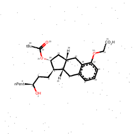 CCCCC[C@H](O)CC[C@@H]1[C@H]2Cc3cccc(OCC(=O)O)c3C[C@H]2C[C@H]1OC(=O)C(C)(C)C